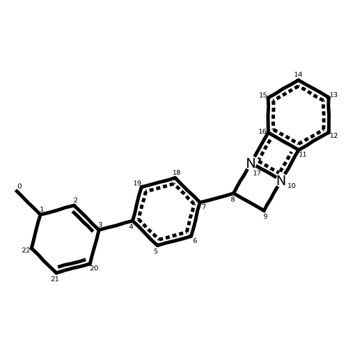 CC1C=C(c2ccc(C3Cn4c5ccccc5n43)cc2)C=CC1